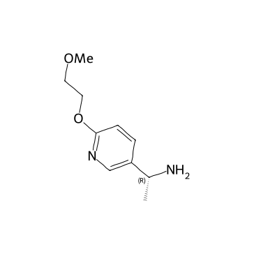 COCCOc1ccc([C@@H](C)N)cn1